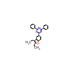 C=Cc1oc2ccc(-c3cc(-c4ccccc4)nc(-c4ccccc4)n3)cc2c1C=C